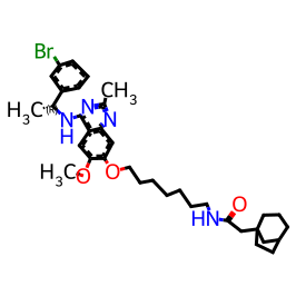 COc1cc2c(N[C@H](C)c3cccc(Br)c3)nc(C)nc2cc1OCCCCCCCNC(=O)CC12CCCC(CC1)C2